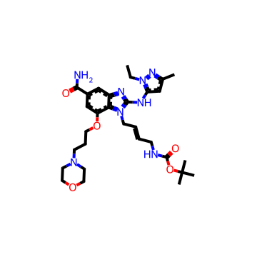 CCn1nc(C)cc1Nc1nc2cc(C(N)=O)cc(OCCCN3CCOCC3)c2n1C/C=C/CNC(=O)OC(C)(C)C